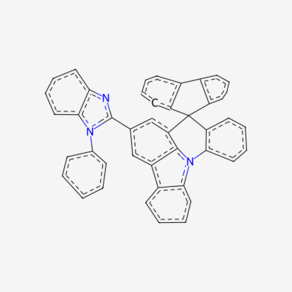 c1ccc(-n2c(-c3cc4c5c(c3)c3ccccc3n5-c3ccccc3C43c4ccccc4-c4ccccc43)nc3ccccc32)cc1